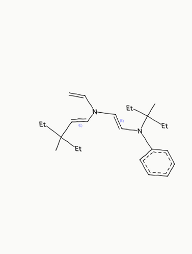 C=CN(/C=C/N(c1ccccc1)C(C)(CC)CC)/C=C/C(C)(CC)CC